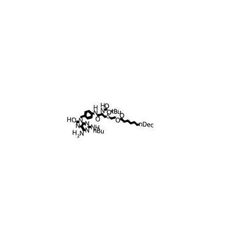 CCCCCCCCCCCCCCCC(=O)OCCSCC(NC(=O)OC(C)(C)C)C(=O)Nc1ccc(Cn2c(O)nc3c(N)nc(NCCCC)nc32)cc1